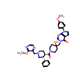 COc1ccc(-n2ccc3c(=O)n(CC4(O)CCN(C(=O)[C@@H]5CCN(Cc6nccnc6OC)C[C@H]5c5ccccc5)CC4)cnc32)cc1